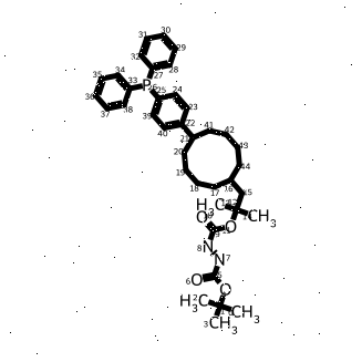 CC(C)(C)OC(=O)/N=N/C(=O)OC(C)(C)CC1CCCCC(c2ccc(P(c3ccccc3)c3ccccc3)cc2)CCCC1